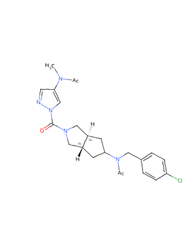 CC(=O)N(C)c1cnn(C(=O)N2C[C@H]3CC(N(Cc4ccc(Cl)cc4)C(C)=O)C[C@@H]3C2)c1